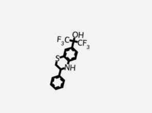 OC(c1ccc2c(c1)SCC(c1ccccc1)N2)(C(F)(F)F)C(F)(F)F